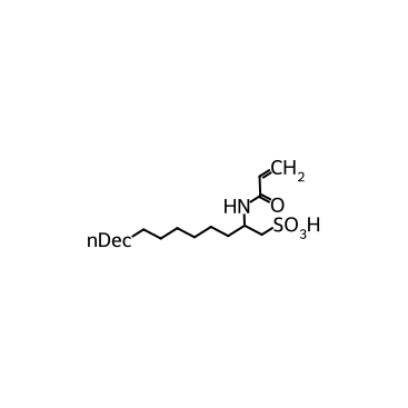 C=CC(=O)NC(CCCCCCCCCCCCCCCC)CS(=O)(=O)O